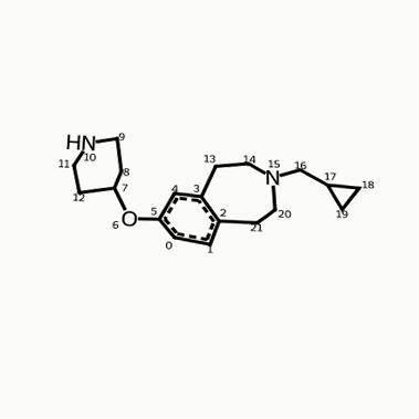 c1cc2c(cc1OC1CCNCC1)CCN(CC1CC1)CC2